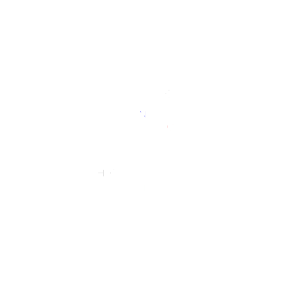 Cc1nc2cc(C)c(F)cc2o1